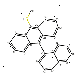 CSc1c2ccccc2c(-c2cccc3ccccc23)c2ccccc12